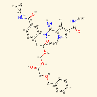 CCCNC(=O)c1cn(NC)c(C(=N)N(OCOCOC(=O)COCc2ccccc2)c2cc(C(=O)NC3CC3)ccc2C)c1C